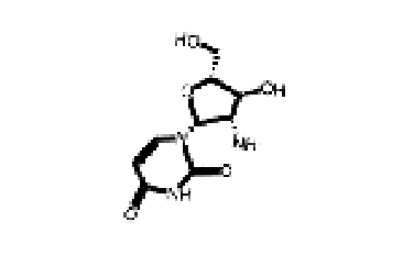 [NH][C@H]1[C@H](O)[C@@H](CO)O[C@H]1n1ccc(=O)[nH]c1=O